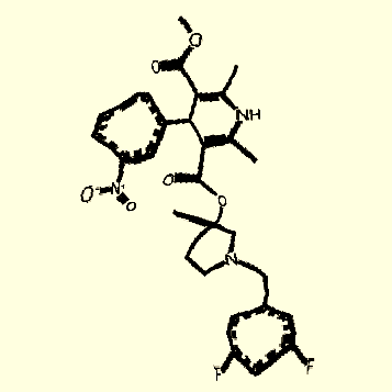 COC(=O)C1=C(C)NC(C)=C(C(=O)OC2(C)CCN(Cc3cc(F)cc(F)c3)C2)C1c1cccc([N+](=O)[O-])c1